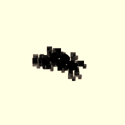 Bc1c(B)c(B)c(-c2cccc3c(-c4c(B)c(B)c(B)c(B5OC(C)(C)C(C)(C)O5)c4B)cccc23)c(B)c1B